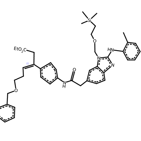 CCOC(=O)C/C(=C/CCOCc1ccccc1)c1ccc(NC(=O)Cc2ccc3nc(Nc4ccccc4C)n(COCC[Si](C)(C)C)c3c2)cc1